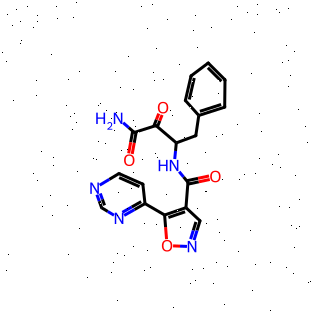 NC(=O)C(=O)C(Cc1ccccc1)NC(=O)c1cnoc1-c1ccncn1